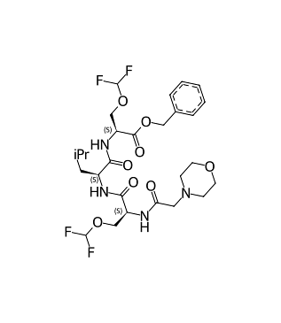 CC(C)C[C@H](NC(=O)[C@H](COC(F)F)NC(=O)CN1CCOCC1)C(=O)N[C@@H](COC(F)F)C(=O)OCc1ccccc1